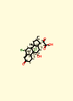 C[C@@H]1C[C@H]2[C@@H]3C[C@H](F)C4=CC(=O)CC[C@]4(C)[C@@]3(Cl)[C@@H](O)C[C@]2(C)[C@H]1C(=O)C(=O)O